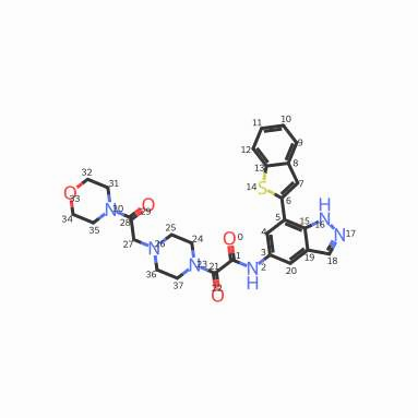 O=C(Nc1cc(-c2cc3ccccc3s2)c2[nH]ncc2c1)C(=O)N1CCN(CC(=O)N2CCOCC2)CC1